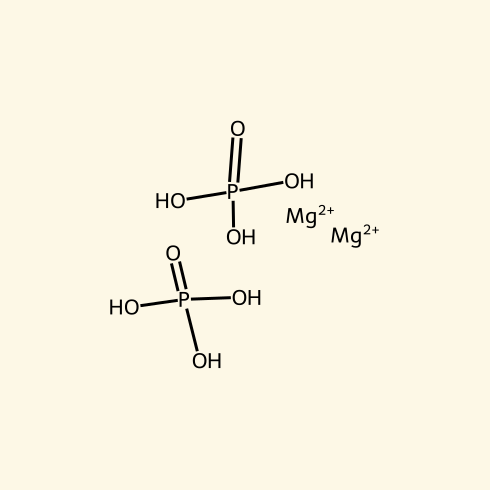 O=P(O)(O)O.O=P(O)(O)O.[Mg+2].[Mg+2]